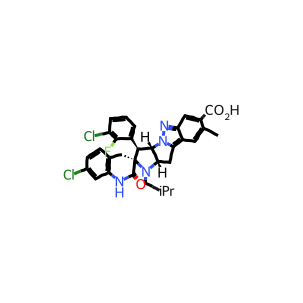 Cc1cc2c3n(nc2cc1C(=O)O)[C@@H]1[C@H](C3)N(CC(C)C)[C@]2(Cc3ccc(Cl)cc3NC2=O)[C@H]1c1cccc(Cl)c1F